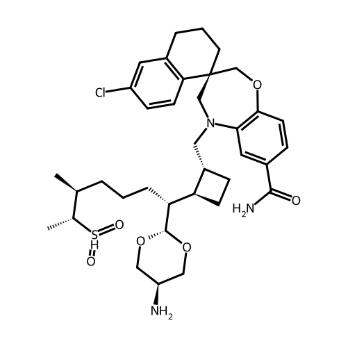 C[C@H]([C@@H](C)CCC[C@@H]([C@H]1OC[C@H](N)CO1)[C@@H]1CC[C@H]1CN1C[C@@]2(CCCc3cc(Cl)ccc32)COc2ccc(C(N)=O)cc21)[SH](=O)=O